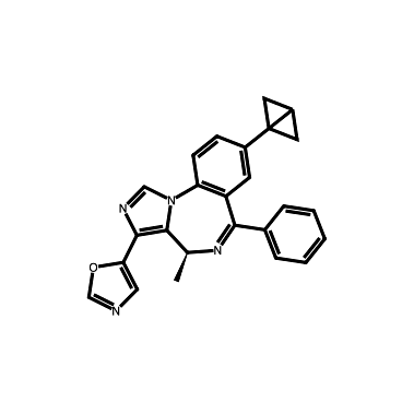 C[C@@H]1N=C(c2ccccc2)c2cc(C34CC3C4)ccc2-n2cnc(-c3cnco3)c21